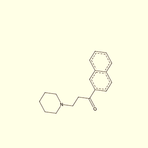 O=C(CCN1CCCCC1)c1ccc2ccccc2c1